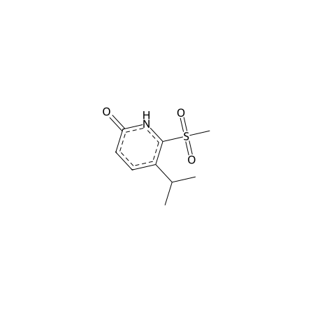 CC(C)c1ccc(=O)[nH]c1S(C)(=O)=O